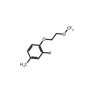 Cc1ccc(OCCOC(F)(F)F)c(F)c1